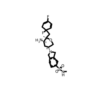 CNS(=O)(=O)c1ccc2c(c1)CN([C@H]1CO[C@](C)(CC3(F)C=CC(F)=CC3)[C@@H](N)C1)C2